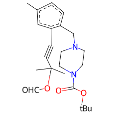 Cc1ccc(CN2CCN(C(=O)OC(C)(C)C)CC2)c(C#CC(C)(C)OC=O)c1